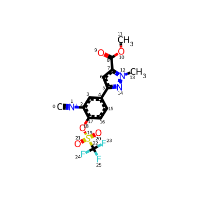 [C-]#[N+]c1cc(-c2cc(C(=O)OC)n(C)n2)ccc1OS(=O)(=O)C(F)(F)F